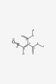 C=C(CC)C(C(=C)CC)=C(C)B=O